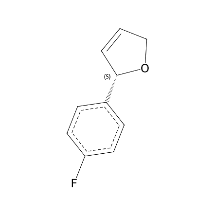 Fc1ccc([C@@H]2C=CCO2)cc1